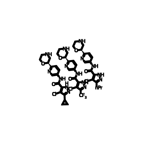 CCCc1n[nH]c(C(=O)Nc2ccc([C@H]3CNCCO3)nc2)c1Cl.O=C(Nc1ccc([C@H]2CNCCO2)nc1)c1[nH]nc(C(F)(F)F)c1Cl.O=C(Nc1ccc([C@H]2CNCCO2)nc1)c1[nH]nc(C2CC2)c1Cl